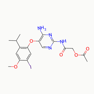 COc1cc(C(C)C)c(Oc2cnc(NC(=O)COC(C)=O)nc2N)cc1I